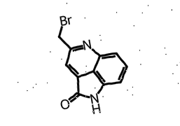 O=C1Nc2cccc3nc(CBr)cc1c23